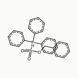 O=S(=O)(OCc1ccccc1)[PH](c1ccccc1)(c1ccccc1)c1ccccc1